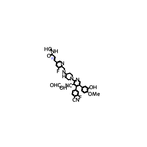 COc1ccc(-c2cnc(N3CCC(NCc4ncc(/C=C/C(=O)NO)cc4F)CC3)c(C#N)c2-c2ccc(C#N)c(F)c2)cc1O.O=CO